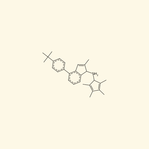 CC1=Cc2c(-c3ccc(C(C)(C)C)cc3)cccc2C1[SiH2]C1C(C)=C(C)C(C)=C1C